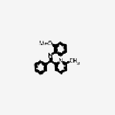 COc1ccccc1N=C(c1ccccc1)c1cccc(C)n1